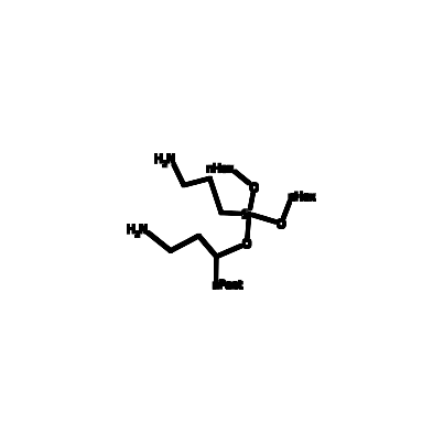 CCCCCCO[Si](CCCN)(OCCCCCC)OC(CCN)CCCCC